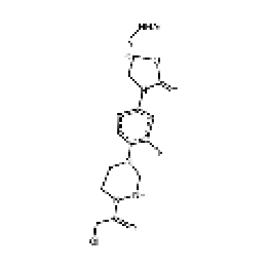 CC(=O)NC[C@H]1CN(c2ccc(N3CCN(C(=O)CO)NC3)c(F)c2)C(=O)O1